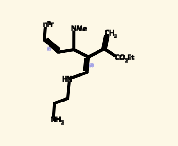 C=C(C(=O)OCC)/C(=C/NCCN)C(/C=C\CCC)NC